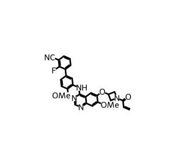 C=CC(=O)N1CC(Oc2cc3c(Nc4cc(-c5cccc(C#N)c5F)ccc4OC)ncnc3cc2OC)C1